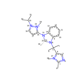 Cc1ncc(C(C)(C)N2c3ccccc3N(c3ccn(C(C)C)[n+]3C)[C@H]2C)n1C